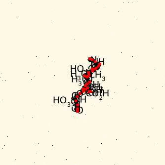 Cc1c(-c2ccc(-c3ccc4c(c3)N(C(=O)Nc3nc5ccccc5s3)CCC4)nc2C(=O)O)cnn1CC12CC3(C)CC(C)(C1)CC(OCCN(C)C(=O)OCc1ccc(OCCOCCNC(=O)[C@H](CS(=O)(=O)O)NC(=O)CCCCCN4C(=O)C=CC4=O)cc1O[C@@H]1O[C@H](C(=O)O)[C@@H](O)[C@H](O)[C@H]1O)(C3)C2